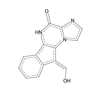 O=c1[nH]c2c3ccccc3/c(=C\O)c2n2ccnc12